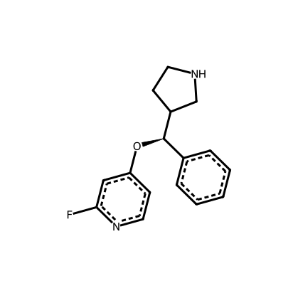 Fc1cc(O[C@H](c2ccccc2)C2CCNC2)ccn1